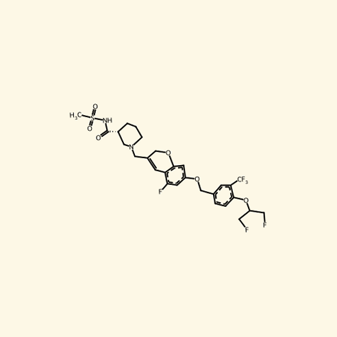 CS(=O)(=O)NC(=O)[C@@H]1CCCN(CC2=Cc3c(F)cc(OCc4ccc(OC(CF)CF)c(C(F)(F)F)c4)cc3OC2)C1